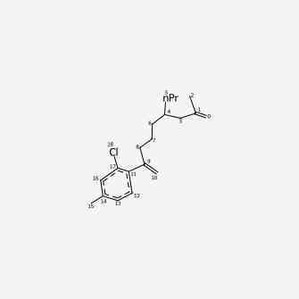 C=C(C)CC(CCC)CCCC(=C)c1ccc(C)cc1Cl